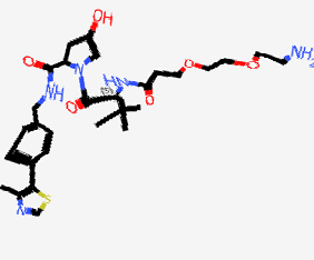 Cc1ncsc1-c1ccc(CNC(=O)C2CC(O)CN2C(=O)[C@@H](NC(=O)CCOCCOCCN)C(C)(C)C)cc1